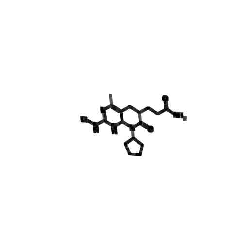 CCNC1=NC(C)=C2CC(CCC(N)=O)C(=O)N(C3CCCC3)C2N1